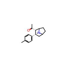 CC(=O)[C@@H]1C2CCC(C[C@@H]1c1ccc(C)cc1)N2C